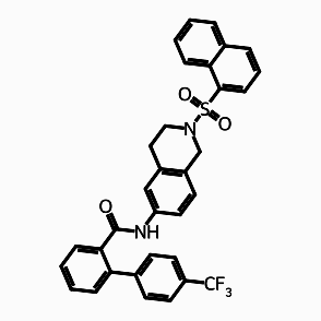 O=C(Nc1ccc2c(c1)CCN(S(=O)(=O)c1cccc3ccccc13)C2)c1ccccc1-c1ccc(C(F)(F)F)cc1